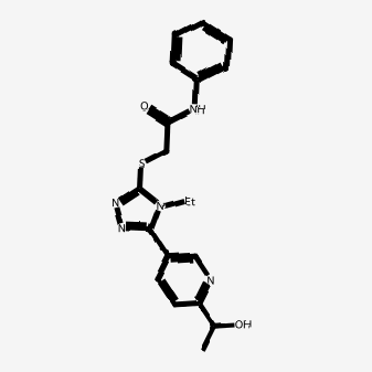 CCn1c(SCC(=O)Nc2ccccc2)nnc1-c1ccc(C(C)O)nc1